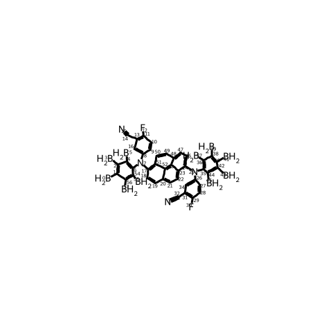 Bc1c(B)c(B)c(N(c2ccc(F)c(C#N)c2)c2ccc3ccc4c(N(c5ccc(F)c(C#N)c5)c5c(B)c(B)c(B)c(B)c5B)ccc5ccc2c3c54)c(B)c1B